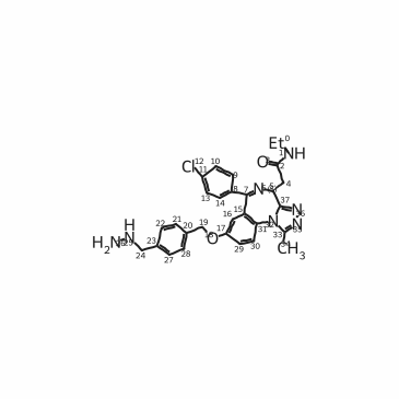 CCNC(=O)C[C@@H]1N=C(c2ccc(Cl)cc2)c2cc(OCc3ccc(CNN)cc3)ccc2-n2c(C)nnc21